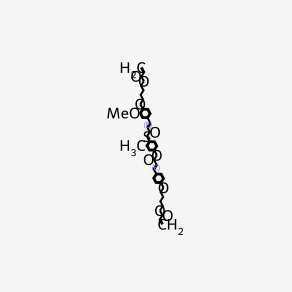 C=CC(=O)OCCCCOc1ccc(/C=C/C(=O)Oc2ccc(SC(=O)/C=C/c3ccc(OCCCCOC(=O)C=C)c(OC)c3)c(C)c2)cc1